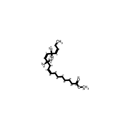 [2H]C([2H])(/C=C\CC)/C=C\C([2H])([2H])C/C=C\CCCCCCC(=O)OC